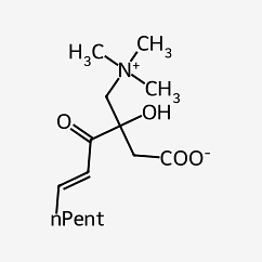 CCCCCC=CC(=O)C(O)(CC(=O)[O-])C[N+](C)(C)C